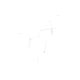 COCC1(O)CC(C(=O)OC)N(C(=O)OC(C)(C)C)C1